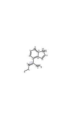 CC/N=C(\N)c1ccnc2[nH]ccc12